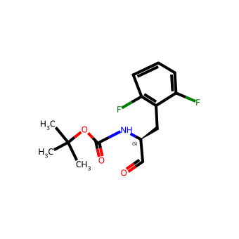 CC(C)(C)OC(=O)N[C@H](C=O)Cc1c(F)cccc1F